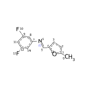 Cc1ccc(/C=N/c2cc(F)cc(F)c2)o1